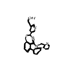 OCc1cncc(C2=NCc3cccc(-c4ccccc4)c3C(NCc3ccccn3)=N2)c1